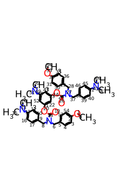 COc1ccc(CN(Cc2ccc(N(C)C)cc2)C(=O)Oc2cc(OC(=O)N(Cc3ccc(OC)cc3)Cc3ccc(N(C)C)cc3)cc(N(C)C)c2)cc1